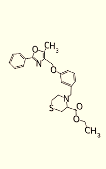 CCOC(=O)C1CSCCN1Cc1cccc(OCc2nc(-c3ccccc3)oc2C)c1